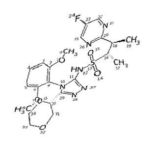 COc1cccc(OC)c1-n1c(NS(=O)(=O)[C@@H](C)[C@H](C)c2ncc(F)cn2)nnc1[C@@H]1COCCO1